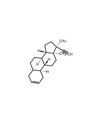 C#C[C@]1(OC(C)=O)CC[C@H]2[C@@H]3CCC4CC=CC[C@@H]4[C@H]3CC[C@@]21C